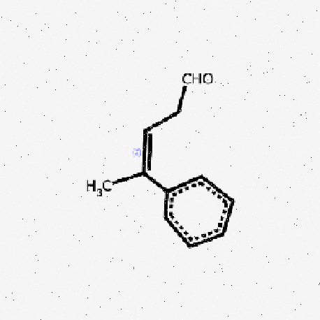 C/C(=C/CC=O)c1ccccc1